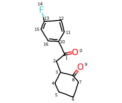 O=C(CC1CCCCC1=O)c1ccc(F)cc1